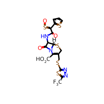 O=S=C(C(=O)NC1C(=O)N2C(C(=O)O)=C(CSc3nnc(C(F)(F)F)s3)CS[C@H]12)c1cccs1